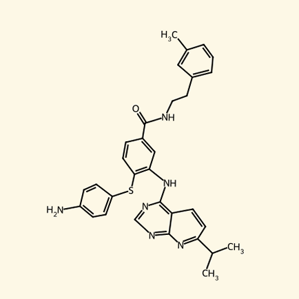 Cc1cccc(CCNC(=O)c2ccc(Sc3ccc(N)cc3)c(Nc3ncnc4nc(C(C)C)ccc34)c2)c1